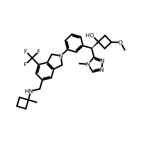 COC1CC(O)([C@H](c2cccc(N3Cc4cc(CNC5(C)CCC5)cc(C(F)(F)F)c4C3)c2)c2nncn2C)C1